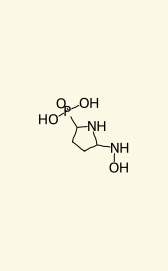 O=P(O)(O)C1CCC(NO)N1